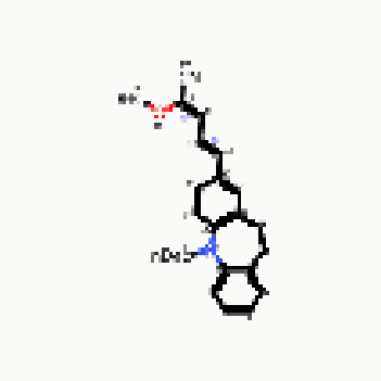 CCCCCCCCCCN1c2ccccc2CCc2cc(/C=C/C=C(/C#N)OC=O)ccc21